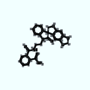 NC(=O)c1ccccc1C(=O)NCCN1C(=O)C2(COc3cc4c(cc32)OCO4)c2ccccc21